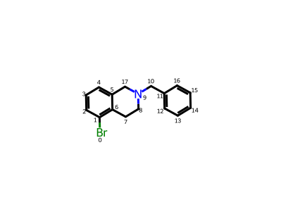 Brc1cccc2c1CCN(Cc1ccccc1)C2